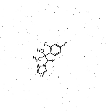 CC(O)(c1ccc(F)cc1F)C(F)n1cncn1